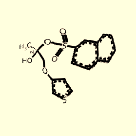 C[C@@](O)(COc1ccsc1)OS(=O)(=O)c1ccc2ccccc2c1